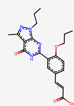 CCCOc1ccc(/C=C/C(=O)O)cc1-c1nc2c(c(C)nn2CCC)c(=O)[nH]1